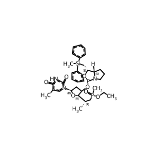 CCOP(C)(=O)C[C@H](C)[C@H]1O[C@@H](n2cc(C)c(=O)[nH]c2=O)CC1OP1O[C@H](C[Si](C)(c2ccccc2)c2ccccc2)[C@@H]2CCCN21